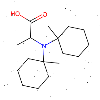 CC(C(=O)O)N(C1(C)CCCCC1)C1(C)CCCCC1